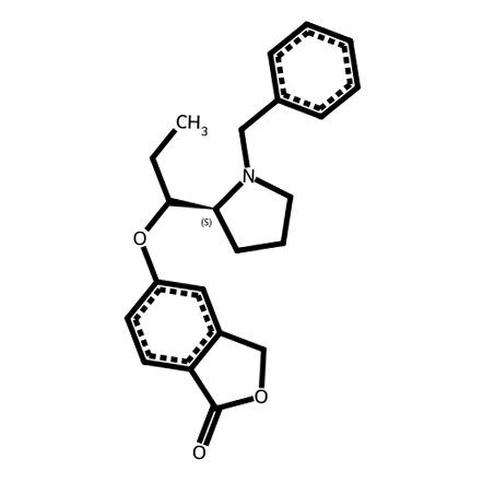 CCC(Oc1ccc2c(c1)COC2=O)[C@@H]1CCCN1Cc1ccccc1